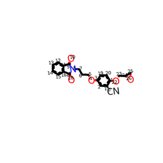 N#Cc1cc(OCCCN2C(=O)c3ccccc3C2=O)ccc1OCC1CO1